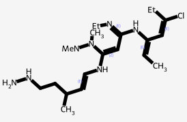 C/C=C(\C=C(\Cl)CC)NC(/C=C(/N/C=C/C(C)CCNN)N(C)NC)=N/CC